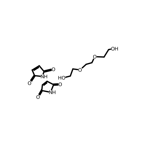 O=C1C=CC(=O)N1.O=C1C=CC(=O)N1.OCCOCCOCCO